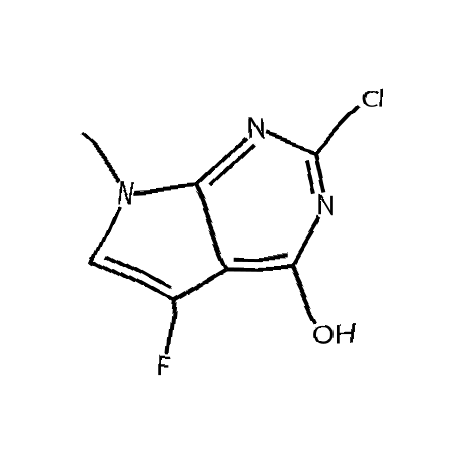 Cn1cc(F)c2c(O)nc(Cl)nc21